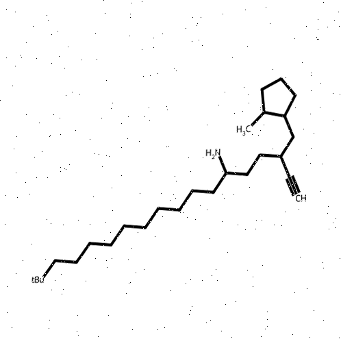 C#CC(CCC(N)CCCCCCCCCCC(C)(C)C)CC1CCCC1C